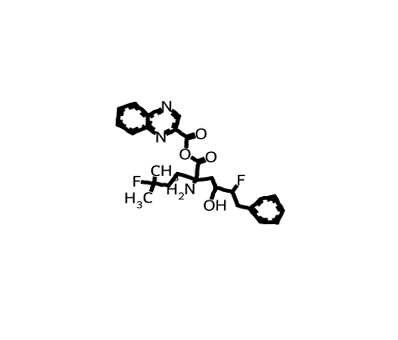 CC(C)(F)CCC(N)(CC(O)C(F)Cc1ccccc1)C(=O)OC(=O)c1cnc2ccccc2n1